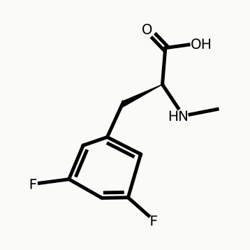 CN[C@@H](Cc1cc(F)cc(F)c1)C(=O)O